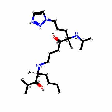 CCCC[C@](C)(NCCCC(=O)[C@](C)(CCCn1ccnn1)NC(C)C)C(=O)C(C)C